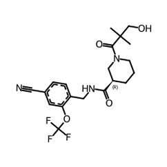 CC(C)(CO)C(=O)N1CCC[C@@H](C(=O)NCc2ccc(C#N)cc2OC(F)(F)F)C1